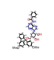 COc1ccc(C(OC[C@H]2C[C@@H](n3cnc4c(NC(=O)c5ccccc5)ncnc43)[C@H](O)[C@@H]2O)(c2ccccc2)c2ccc(OC)cc2)cc1